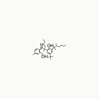 CCCCC(C)C(C)(C)c1cc(C(C)(C)C)cc(C(C)(CCCC)Pc2ccc(C)cc2CO)c1O